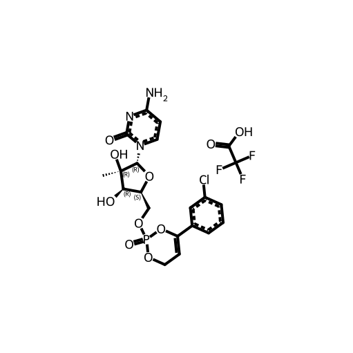 C[C@@]1(O)[C@H](O)[C@H](COP2(=O)OCC=C(c3cccc(Cl)c3)O2)O[C@H]1n1ccc(N)nc1=O.O=C(O)C(F)(F)F